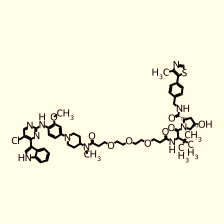 COc1cc(N2CCC(N(C)C(=O)CCOCCOCCOCCC(=O)NC(C(=O)N3C[C@H](O)C[C@H]3C(=O)NCc3ccc(-c4scnc4C)cc3)C(C)(C)C)CC2)ccc1Nc1ncc(Cl)c(-c2c[nH]c3ccccc23)n1